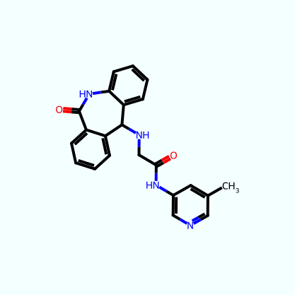 Cc1cncc(NC(=O)CNC2c3ccccc3NC(=O)c3ccccc32)c1